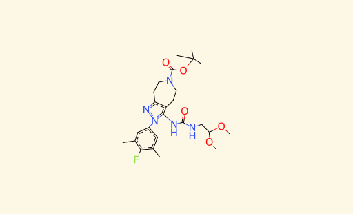 COC(CNC(=O)Nc1c2c(nn1-c1cc(C)c(F)c(C)c1)CCN(C(=O)OC(C)(C)C)CC2)OC